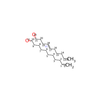 C=CCCCCCCCCC=O.CCCCC/C=C/CCC=O